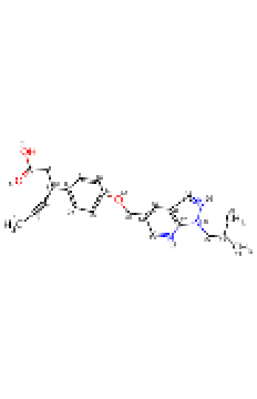 CC#C[C@@H](CC(=O)O)c1ccc(OCc2cnc3c(cnn3CC(C)C)c2)cc1